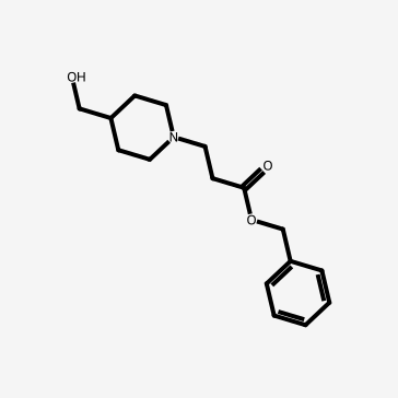 O=C(CCN1CCC(CO)CC1)OCc1ccccc1